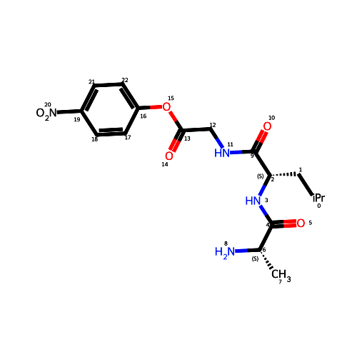 CC(C)C[C@H](NC(=O)[C@H](C)N)C(=O)NCC(=O)Oc1ccc([N+](=O)[O-])cc1